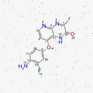 Cc1nc2nccc(Oc3ccc(N)c(F)c3)c2[nH]c1=O